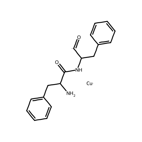 NC(Cc1ccccc1)C(=O)NC([C]=O)Cc1ccccc1.[Cu]